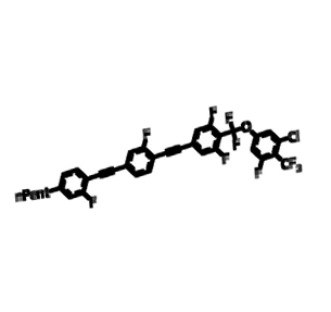 CCCCCc1ccc(C#Cc2ccc(C#Cc3cc(F)c(C(F)(F)Oc4cc(F)c(C(F)(F)F)c(Cl)c4)c(F)c3)c(F)c2)c(F)c1